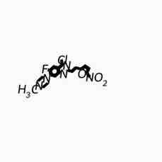 CN1CCN(c2cc3nc(/C=C/c4ccc([N+](=O)[O-])o4)nc(Cl)c3cc2F)CC1